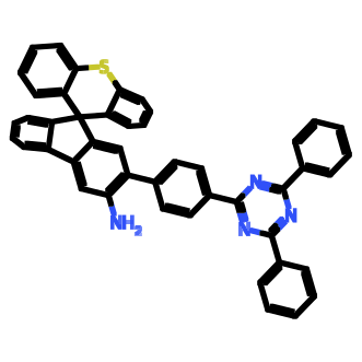 Nc1cc2c(cc1-c1ccc(-c3nc(-c4ccccc4)nc(-c4ccccc4)n3)cc1)C1(c3ccccc3Sc3ccccc31)c1ccccc1-2